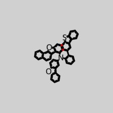 c1ccc(N(c2ccc3oc4ccccc4c3c2)c2cccc3oc4c5ccccc5ccc4c23)c(-c2ccc3sc4ccccc4c3c2)c1